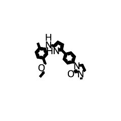 CCOCc1ccc(C)c(Nc2ccc(-c3ccc(N4CCN(C)C4=O)cc3)[nH]2)c1